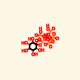 O=P(O)(O)OP(=O)(O)OP(=O)(O)OP(=O)(O[C@]1(O)[C@H](O)[C@H](O)[C@@H](O)[C@H](O)[C@H]1O)OP(=O)(O)O